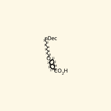 CCCCCCCCCCCCCCCCCCOc1ccc2cc(C(=O)O)ccc2c1